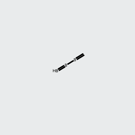 B=BB=C